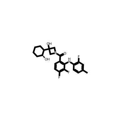 Cc1ccc(Nc2c(C(=O)N3CC(O)(C4CCCC[C@@H]4O)C3)ccc(F)c2F)c(F)c1